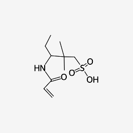 C=CC(=O)NC(CC)C(C)(C)CS(=O)(=O)O